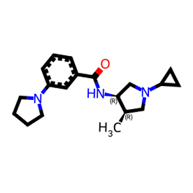 C[C@@H]1CN(C2CC2)C[C@@H]1NC(=O)c1cccc(N2CCCC2)c1